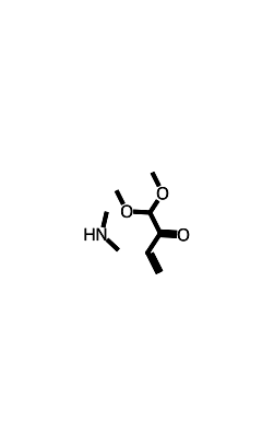 C=CC(=O)C(OC)OC.CNC